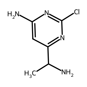 CC(N)c1cc(N)nc(Cl)n1